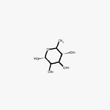 CC(=O)OC1C(OC(C)=O)[C@H](O)OC(C)[C@@H]1OC(C)=O